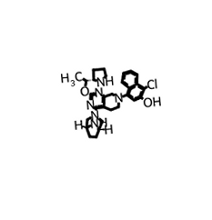 CC(Oc1nc2c(c(N3C[C@H]4CC[C@@H](C3)N4)n1)CCN(c1cc(O)c(Cl)c3ccccc13)C2)[C@@H]1CCCN1